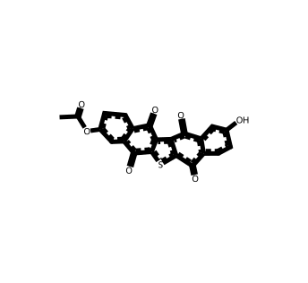 CC(=O)Oc1ccc2c(=O)c3c(sc4c(=O)c5ccc(O)cc5c(=O)c43)c(=O)c2c1